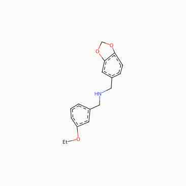 CCOc1cccc(CNCc2ccc3c(c2)OCO3)c1